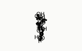 CC[C@@H](C)[C@@H]([C@@H](CC(=O)N1CCC[C@H]1[C@H](OC)[C@@H](C)C(=O)NS(=O)(=O)Cc1ccc(NC(=O)C(F)(F)F)cc1)OC)N(C)C(=O)[C@@H](NC(=O)O)C(C)C